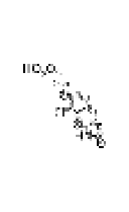 O=C(O)CCCOc1ccc(C=C2SC(=O)NC2=O)cc1Cl